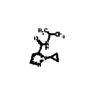 CC(C)NC(=O)c1ccnn1C1CC1